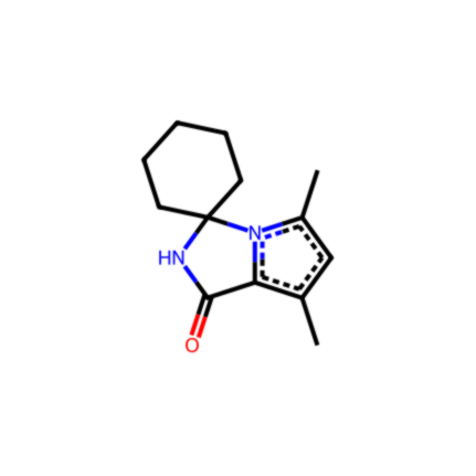 Cc1cc(C)n2c1C(=O)NC21CCCCC1